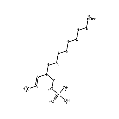 CC=CC(COP(=O)(O)O)CSCCCCCCCCCCCCCCCC